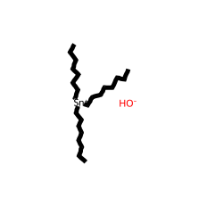 CCCCCCC[CH2][Sn+]([CH2]CCCCCCC)[CH2]CCCCCCC.[OH-]